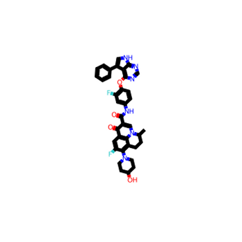 CC1CCc2c(N3CCC(O)CC3)c(F)cc3c(=O)c(C(=O)Nc4ccc(Oc5ncnc6[nH]cc(-c7ccccc7)c56)c(F)c4)cn1c23